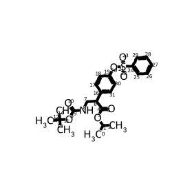 CC(C)OC(=O)C(CNC(=O)OC(C)(C)C)c1ccc(OS(=O)(=O)c2ccccc2)cc1